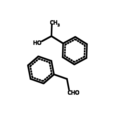 CC(O)c1ccccc1.O=CCc1ccccc1